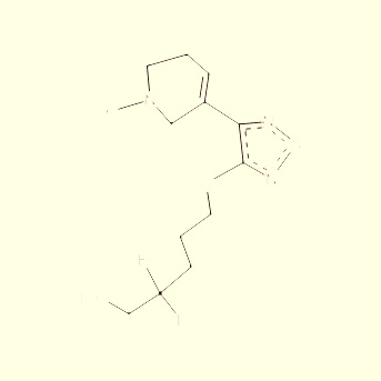 CN1CCC=C(c2nsnc2OCCCC(F)(F)CC(F)(F)F)C1